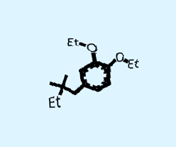 CCOc1ccc(CC(C)(C)CC)cc1OCC